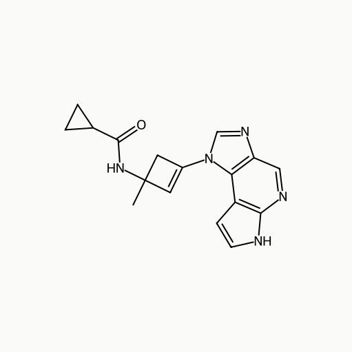 CC1(NC(=O)C2CC2)C=C(n2cnc3cnc4[nH]ccc4c32)C1